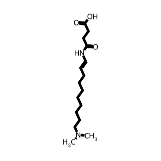 CN(C)CCCCCCCCC=CNC(=O)CCC(=O)O